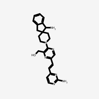 Nc1nccc(C=Cc2cnc(N3CCC4(CC3)Cc3ccccc3C4N)c(CO)n2)n1